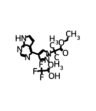 CCOC(=O)C(C)(C)n1cc(-c2ncnc3[nH]ccc23)cn1.O=C(O)C(F)(F)F